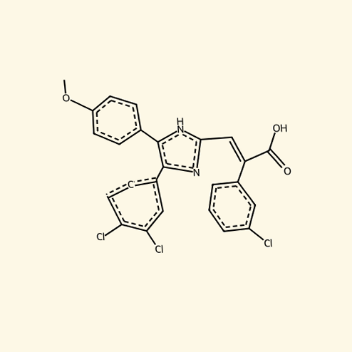 COc1ccc(-c2[nH]c(/C=C(/C(=O)O)c3cccc(Cl)c3)nc2-c2ccc(Cl)c(Cl)c2)cc1